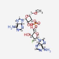 COC[C@H]1O[C@@H](n2cnc3c(N)ncnc32)[C@@H](O)[C@H]1OP(=O)(O)OC[C@H]1O[C@@H](n2cnc3c(N)ncnc32)[C@@H](F)[C@H]1O